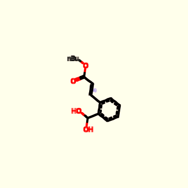 CCCCOC(=O)/C=C/c1ccccc1C(O)O